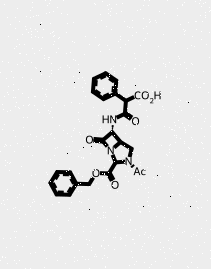 CC(=O)N1CC2[C@@H](NC(=O)C(C(=O)O)c3ccccc3)C(=O)N2C1C(=O)OCc1ccccc1